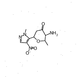 CC1OC(c2c([N+](=O)[O-])cnn2C)CC(=O)C1N